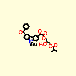 C=C(C)C(=O)OCC(O)COC(=O)C(=O)c1ccc2c(c1)c1cc(C(=O)c3ccccc3)ccc1n2C(C)CC